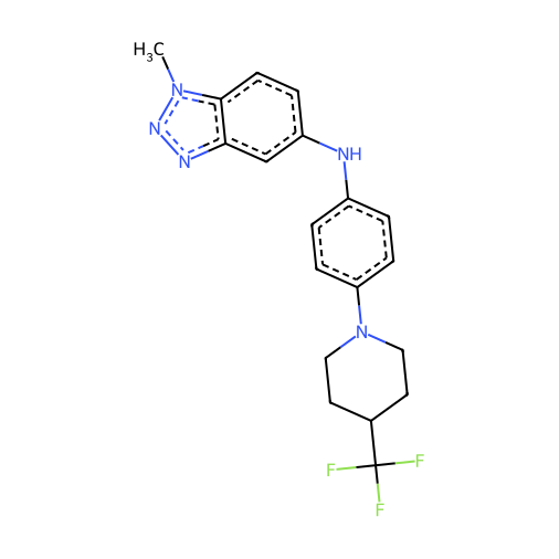 Cn1nnc2cc(Nc3ccc(N4CCC(C(F)(F)F)CC4)cc3)ccc21